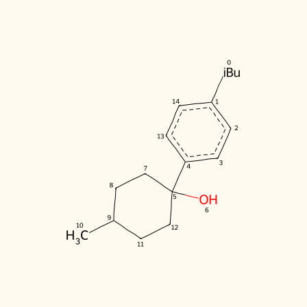 CCC(C)c1ccc(C2(O)CCC(C)CC2)cc1